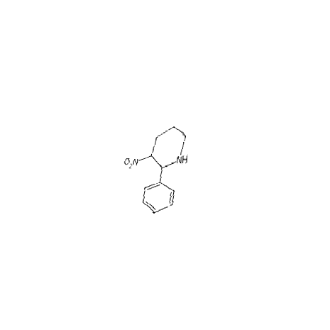 O=[N+]([O-])C1CCCNC1c1ccccc1